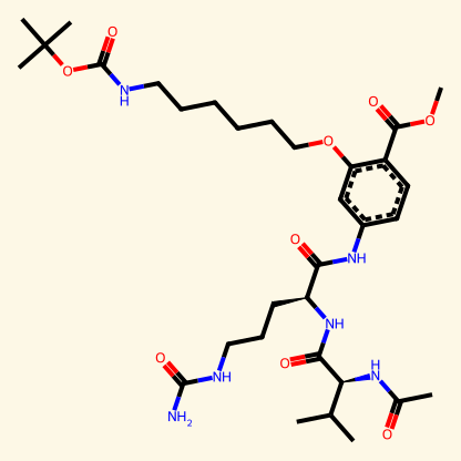 COC(=O)c1ccc(NC(=O)[C@H](CCCNC(N)=O)NC(=O)[C@@H](NC(C)=O)C(C)C)cc1OCCCCCCNC(=O)OC(C)(C)C